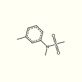 Cc1cccc(N(C)S(C)(=O)=O)c1